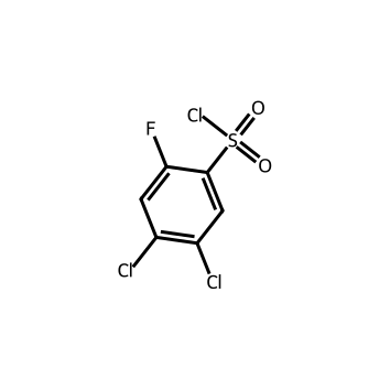 O=S(=O)(Cl)c1cc(Cl)c(Cl)cc1F